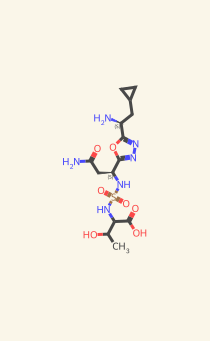 CC(O)C(NS(=O)(=O)N[C@@H](CC(N)=O)c1nnc([C@@H](N)CC2CC2)o1)C(=O)O